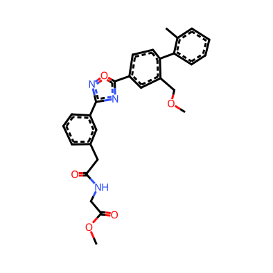 COCc1cc(-c2nc(-c3cccc(CC(=O)NCC(=O)OC)c3)no2)ccc1-c1ccccc1C